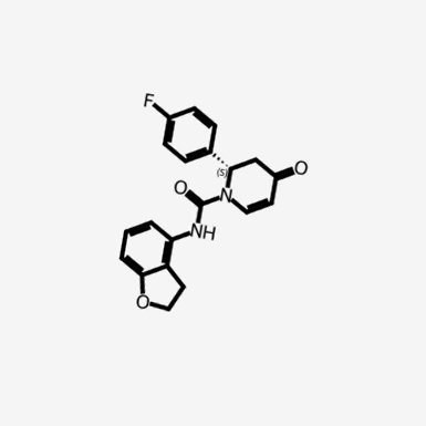 O=C1C=CN(C(=O)Nc2cccc3c2CCO3)[C@H](c2ccc(F)cc2)C1